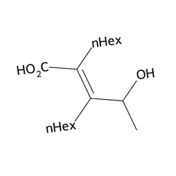 CCCCCCC(C(=O)O)=C(CCCCCC)C(C)O